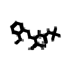 COc1ccccc1CCC(NC(=O)OC(C)(C)C)C(=O)O